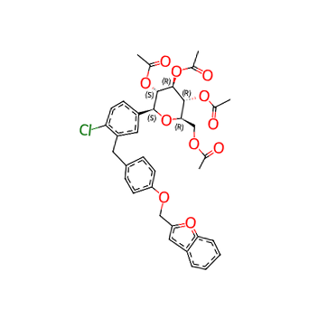 CC(=O)OC[C@H]1O[C@@H](c2ccc(Cl)c(Cc3ccc(OCc4cc5ccccc5o4)cc3)c2)[C@H](OC(C)=O)[C@@H](OC(C)=O)[C@@H]1OC(C)=O